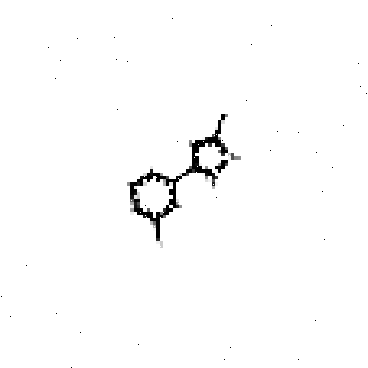 Cc1[c]c(-c2cccc(Cl)c2)[nH]n1